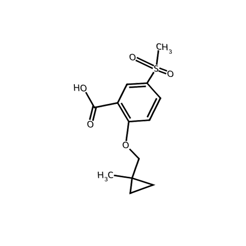 CC1(COc2ccc(S(C)(=O)=O)cc2C(=O)O)CC1